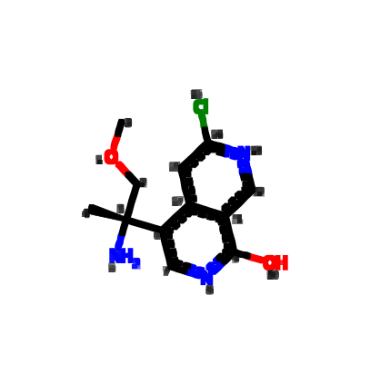 COC[C@@](C)(N)c1cnc(O)c2cnc(Cl)cc12